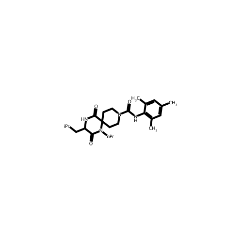 CCCN1C(=O)C(CC(C)C)NC(=O)C12CCN(C(=O)Nc1c(C)cc(C)cc1C)CC2